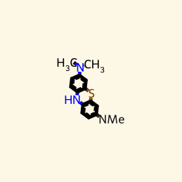 CNc1ccc2c(c1)Sc1cc(N(C)C)ccc1N2